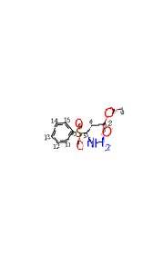 COC(=O)CC(N)S(=O)(=O)c1ccccc1